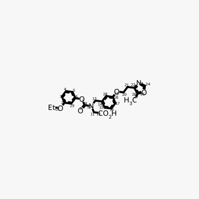 CCOc1cccc(OC(=O)N(CC(=O)O)Cc2cccc(OCCc3ncoc3C)c2)c1